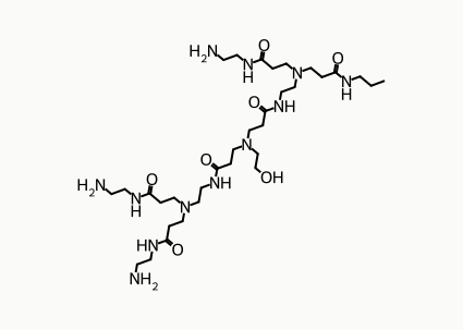 CCCNC(=O)CCN(CCNC(=O)CCN(CCO)CCC(=O)NCCN(CCC(=O)NCCN)CCC(=O)NCCN)CCC(=O)NCCN